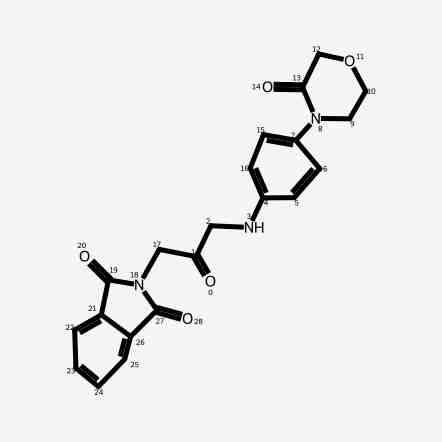 O=C(CNc1ccc(N2CCOCC2=O)cc1)CN1C(=O)c2ccccc2C1=O